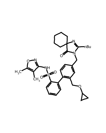 CCCCC1=NC2(CCCCC2)C(=O)N1Cc1ccc(-c2ccccc2S(=O)(=O)Nc2noc(C)c2C)c(COC2CC2)c1